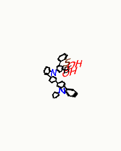 OB(O)c1cc(-n2c3ccccc3c3ccc(-c4ccc5c6ccccc6n(-c6ccccc6)c5c4)cc32)cc2c1sc1ccccc12